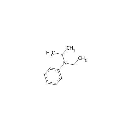 CCN(c1cc[c]cc1)C(C)C